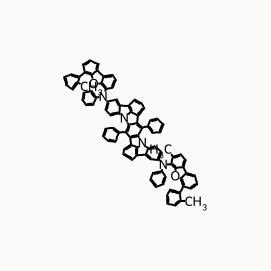 Cc1ccccc1-c1cccc2c1oc1c(N(c3ccccc3)c3ccc4c(c3)c3cccc5c6c(-c7ccccc7)c7c(c(-c8ccccc8)c6n4c35)c3cccc4c5cc(N(c6ccccc6)c6c(C)ccc8c6oc6c(-c9ccccc9C)cccc68)ccc5n7c43)cccc12